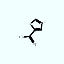 N=C(N)c1cncs1